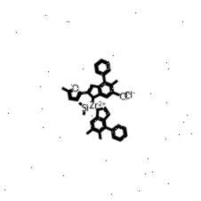 Cc1ccc(C2=Cc3c(cc(C)c(C)c3-c3ccccc3)[CH]2[Zr+2]([CH]2C=Cc3c2cc(C)c(C)c3-c2ccccc2)=[Si](C)C)o1.[Cl-].[Cl-]